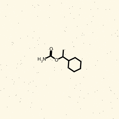 [CH2]C(OC(N)=O)C1CCCCC1